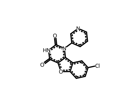 O=c1[nH]c(=O)n(-c2cccnc2)c2c1oc1ccc(Cl)cc12